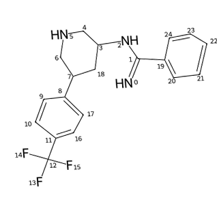 N=C(NC1CNCC(c2ccc(C(F)(F)F)cc2)C1)c1ccccc1